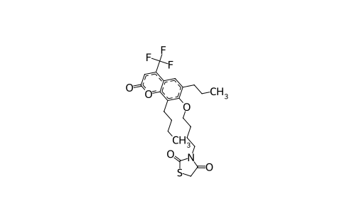 CCCCc1c(OCCCCN2C(=O)CSC2=O)c(CCC)cc2c(C(F)(F)F)cc(=O)oc12